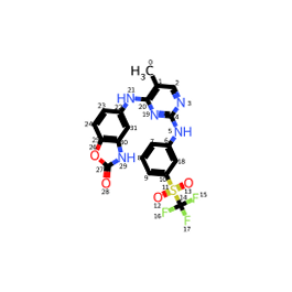 Cc1cnc(Nc2cccc(S(=O)(=O)C(F)(F)F)c2)nc1Nc1ccc2oc(=O)[nH]c2c1